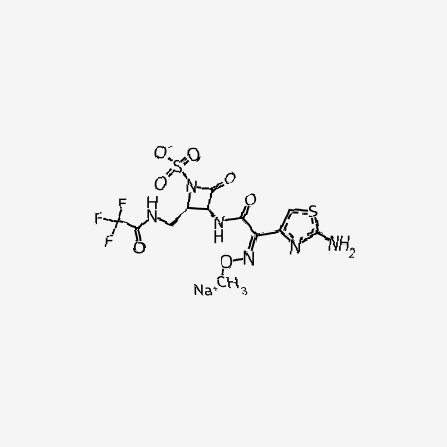 CON=C(C(=O)N[C@@H]1C(=O)N(S(=O)(=O)[O-])[C@@H]1CNC(=O)C(F)(F)F)c1csc(N)n1.[Na+]